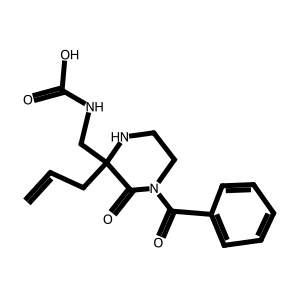 C=CCC1(CNC(=O)O)NCCN(C(=O)c2ccccc2)C1=O